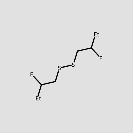 CCC(F)CSSCC(F)CC